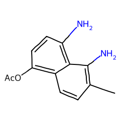 CC(=O)Oc1ccc(N)c2c(N)c(C)ccc12